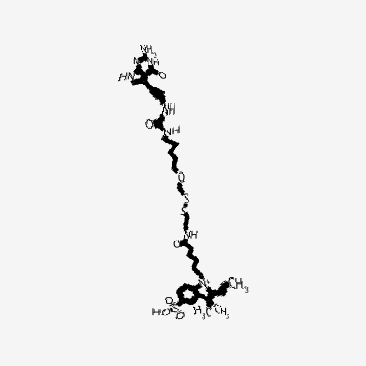 C/C=C/C1=[N+](CCCCCC(=O)NCCSSCOCCCCCNC(=O)NC#Cc2c[nH]c3nc(N)[nH]c(=O)c23)c2ccc(S(=O)(=O)O)cc2C1(C)C